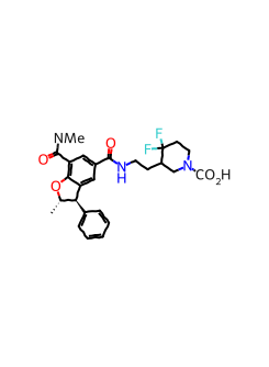 CNC(=O)c1cc(C(=O)NCCC2CN(C(=O)O)CCC2(F)F)cc2c1O[C@@H](C)[C@@H]2c1ccccc1